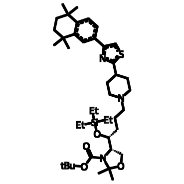 CC[Si](CC)(CC)O[C@H](CCCN1CCC(c2nc(-c3ccc4c(c3)C(C)(C)CCC4(C)C)cs2)CC1)[C@@H]1COC(C)(C)N1C(=O)OC(C)(C)C